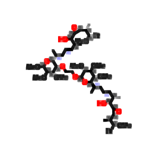 CC[C@H](OC)[C@@H](C)[C@H]1O[C@@H]1[C@H](O)[C@@H](C)/C=C/C=C(\C)[C@H]1O[C@H](OC)[C@H](OC)[C@@H](OC)[C@H]1OCCO[C@@H]1O[C@H](/C(C)=C/C=C/[C@H](C)[C@@H](O)[C@H]2O[C@@H]2[C@H](C)[C@H](CC)OC)[C@@H](OC)[C@H](OC)[C@H]1OC